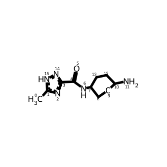 Cc1nc(C(=O)NC2CCC(N)CC2)n[nH]1